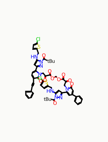 CC(C)(C)C(=O)n1nc(-c2cc(-c3ccccc3)cc(=O)n2CC(=O)C(=O)OCOC(=O)C(=O)Cn2c(-c3cc(NCc4ccc(Cl)s4)n(C(=O)C(C)(C)C)n3)ccc(C#Cc3ccccc3)c2=O)cc1NCc1ccc(Cl)s1